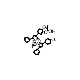 COc1ccc(-c2cc(-c3ccccc3)n(B(F)F)c2N=C2N=C(c3ccccc3)C=C2c2ccc(OC(C)C(=O)O)cc2)cc1